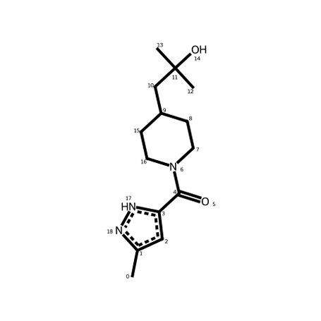 Cc1cc(C(=O)N2CCC(CC(C)(C)O)CC2)[nH]n1